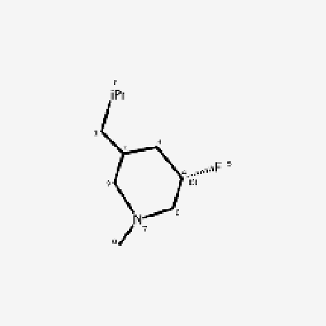 CC(C)CC1C[C@H](F)CN(C)C1